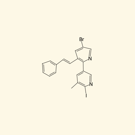 Cc1cc(-c2ncc(Br)cc2C=Cc2ccccc2)cnc1I